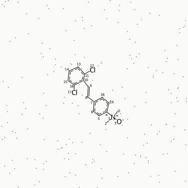 C[N+](C)([O-])c1ccc(C=Cc2c(Cl)cccc2Cl)cc1